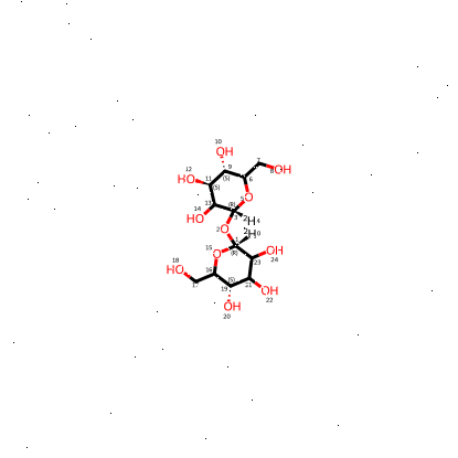 [2H][C@]1(O[C@@]2([2H])OC(CO)[C@@H](O)[C@H](O)C2O)OC(CO)[C@@H](O)C(O)C1O